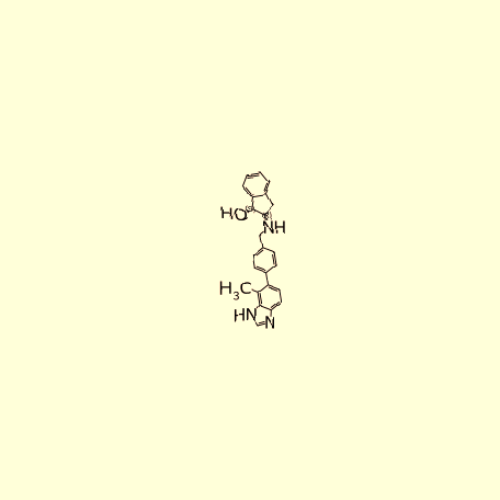 Cc1c(-c2ccc(CN[C@@H]3Cc4ccccc4[C@@H]3O)cc2)ccc2nc[nH]c12